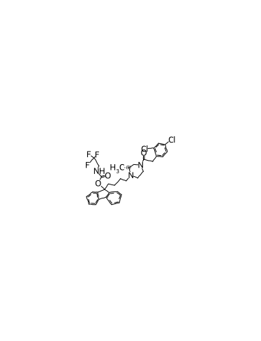 C[C@@H]1CN(C(=O)Cc2ccc(Cl)cc2Cl)CCN1CCCCC1(OC(=O)NCC(F)(F)F)c2ccccc2-c2ccccc21